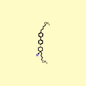 CCCCCc1ccc(-c2ccc([C@H]3CC[C@@](C#N)(CCCCC)CC3)cc2)cc1